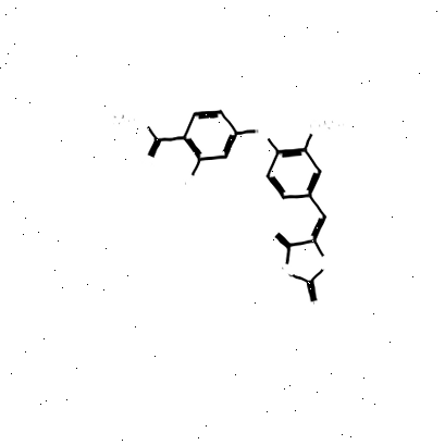 COC(=O)c1ccc(Oc2ccc(C=C3SC(=O)NC3=O)cc2OC)cc1C(F)(F)F